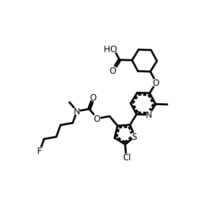 Cc1nc(-c2sc(Cl)cc2COC(=O)N(C)CCCCF)ccc1OC1CCCC(C(=O)O)C1